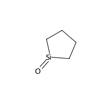 O=[Si]1CCCC1